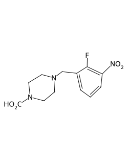 O=C(O)N1CCN(Cc2cccc([N+](=O)[O-])c2F)CC1